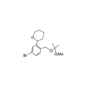 COC(C)(C)OCc1ccc(Br)cc1C1CCCCO1